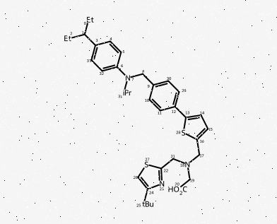 CCC(CC)c1ccc(N(Cc2ccc(-c3ccc(CN(CC(=O)O)Cc4nc(C(C)(C)C)cs4)s3)cc2)C(C)C)cc1